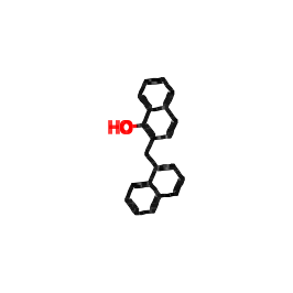 Oc1c(Cc2cccc3ccccc23)ccc2ccccc12